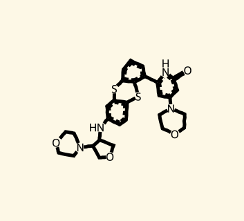 O=c1cc(N2CCOCC2)cc(-c2cccc3c2Sc2ccc(NC4COCC4N4CCOCC4)cc2S3)[nH]1